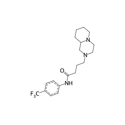 O=C(CCCN1CCN2CCCCC2C1)Nc1ccc(C(F)(F)F)cc1